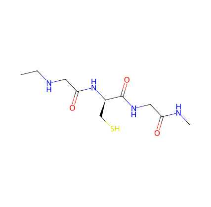 CCNCC(=O)N[C@H](CS)C(=O)NCC(=O)NC